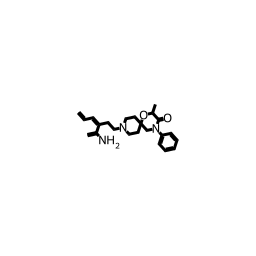 C=C/C=C(/CCN1CCC2(CC1)CN(c1ccccc1)C(=O)C(C)O2)C(=C)N